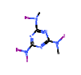 CN(I)c1nc(N(C)I)nc(N(I)I)n1